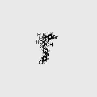 C[C@H](NC(=O)[C@H](O)[C@@H](O)C(=O)N1CCN(Oc2ccc(Cl)cc2)CC1)c1ccc(Br)cc1